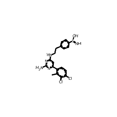 Cc1c(-c2cc(NCCc3ccc(S(=N)O)cc3)nc(N)n2)ccc(Cl)c1Cl